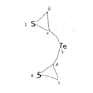 C1SC1[Te]C1CS1